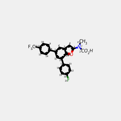 CN(C(=O)O)c1cc2cc(-c3ccc(C(F)(F)F)cc3)cc(-c3ccc(F)cc3)c2o1